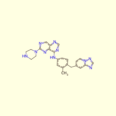 Cc1cc(Nc2ncnc3cnc(N4CCNCC4)nc23)ccc1Cc1ccn2ncnc2c1